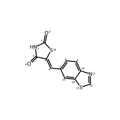 O=C1NC(=O)C(=Cc2ccc3ncsc3c2)S1